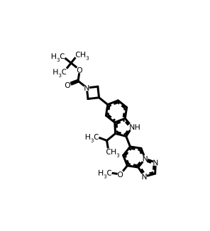 COc1cc(-c2[nH]c3ccc(C4CN(C(=O)OC(C)(C)C)C4)cc3c2C(C)C)cn2ncnc12